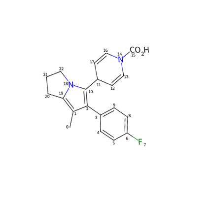 Cc1c(-c2ccc(F)cc2)c(C2C=CN(C(=O)O)C=C2)n2c1CCC2